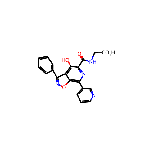 O=C(O)CNC(=O)c1nc(-c2cccnc2)c2onc(-c3ccccc3)c2c1O